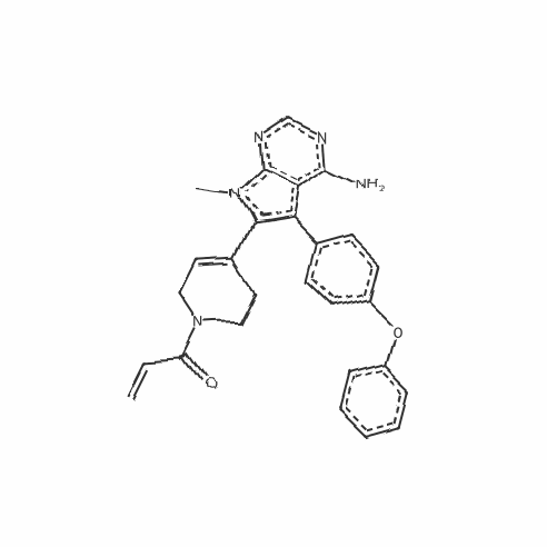 C=CC(=O)N1CC=C(c2c(-c3ccc(Oc4ccccc4)cc3)c3c(N)ncnc3n2C)CC1